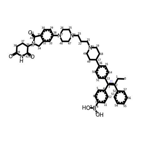 CC/C(=C(/c1ccc(B(O)O)cc1)c1ccc(C2CCN(CCCN3CCN(c4ccc5c(c4)CN(C4CCC(=O)NC4=O)C5=O)CC3)CC2)cc1)c1ccccc1